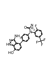 NC(=O)N(c1ccc(-c2ccc(O)c3[nH]nc(N)c23)cc1)c1cc(C(F)(F)F)ccc1F